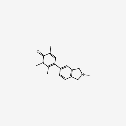 Cc1cc(-c2ccc3c(c2)CN(C)C3)c(C)n(C)c1=O